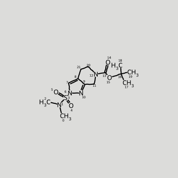 CN(C)S(=O)(=O)n1cc2c(n1)CN(C(=O)OC(C)(C)C)CC2